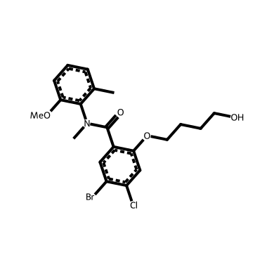 COc1cccc(C)c1N(C)C(=O)c1cc(Br)c(Cl)cc1OCCCCO